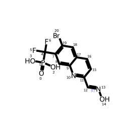 O=P(O)(O)C(F)(F)c1cc2nc(/C=N/O)ccc2cc1Br